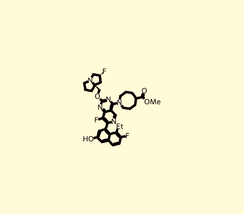 CCc1c(F)ccc2cc(O)cc(-c3ncc4c(N5CCCC(C(=O)OC)CCC5)nc(OC[C@@]56CCCN5C[C@H](F)C6)nc4c3F)c12